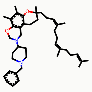 CC(C)=CCCC(C)=CCCC(C)=CCCC1(C)CCc2c3c(c(C)c(C)c2O1)OCN(C1CCN(Cc2ccccc2)CC1)C3